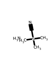 CS(C)(C)C#N.N